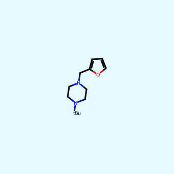 CC(C)(C)N1CCN(Cc2ccco2)CC1